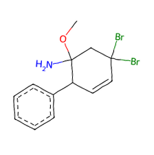 COC1(N)CC(Br)(Br)C=CC1c1ccccc1